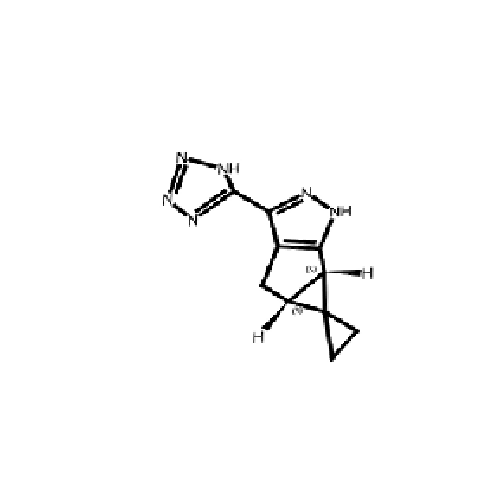 C1c2c(-c3nnn[nH]3)n[nH]c2[C@H]2[C@@H]1C21CC1